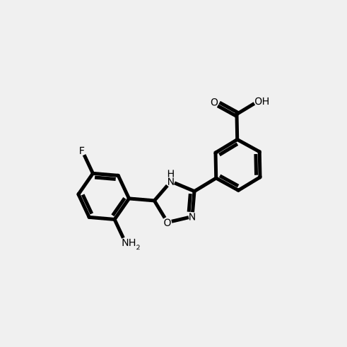 Nc1ccc(F)cc1C1NC(c2cccc(C(=O)O)c2)=NO1